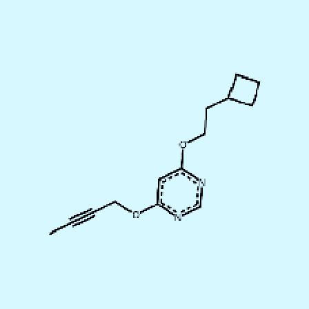 CC#CCOc1cc(OCCC2CCC2)ncn1